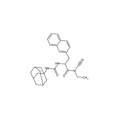 CCN(C#N)C(=O)C(Cc1ccc2ccccc2c1)NC(=O)NC12CC3CC(CC(C3)C1)C2